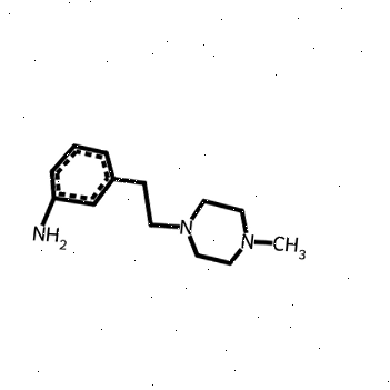 CN1CCN(CCc2cccc(N)c2)CC1